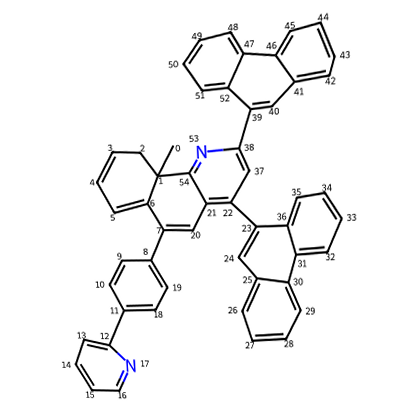 CC12CC=CC=C1C(c1ccc(-c3ccccn3)cc1)=Cc1c(-c3cc4ccccc4c4ccccc34)cc(-c3cc4ccccc4c4ccccc34)nc12